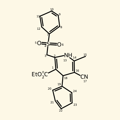 CCOC(=O)C1=C(CS(=O)(=O)c2ccccc2)NC(C)=C(C#N)C1c1ccccc1